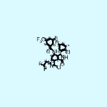 O=C(Nc1cc2c(c(Cl)nn2CC(F)F)c2c1[C@@H](c1cc(F)ccc1Cl)NC2=O)c1cc(F)cc(C(F)(F)F)c1